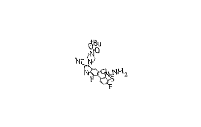 CC(C)(C)OC(=O)N1CCN(c2c(C#N)cnc3c(F)c(-c4ccc(F)c5sc(N)nc45)c(Cl)cc23)CC1